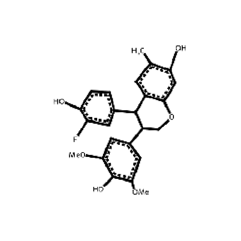 COc1cc(C2COc3cc(O)c(C)cc3C2c2ccc(O)c(F)c2)cc(OC)c1O